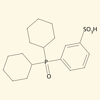 O=P(c1cccc(S(=O)(=O)O)c1)(C1CCCCC1)C1CCCCC1